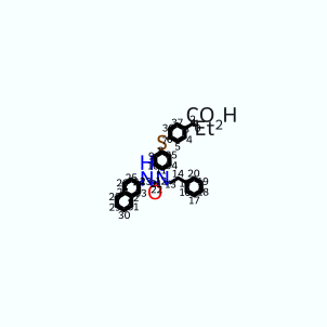 CCC(C(=O)O)c1ccc(Sc2ccc(N(CCc3ccccc3)C(=O)Nc3ccc4ccccc4c3)cc2)cc1